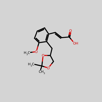 COc1cccc(C=CC(=O)O)c1CC1COC(C)(C)O1